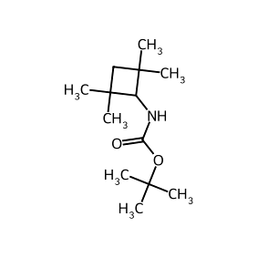 CC(C)(C)OC(=O)NC1C(C)(C)CC1(C)C